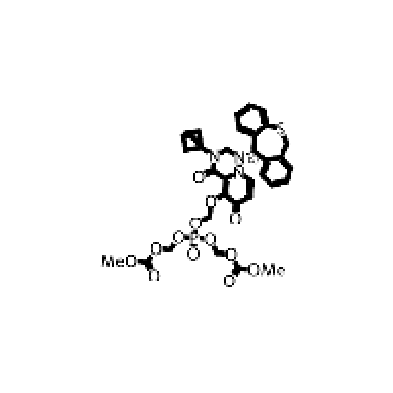 COC(=O)OCOP(=O)(OCOC(=O)OC)OCOc1c2n(ccc1=O)N([C@H]1c3ccccc3CSc3ccccc31)CN(C13CC(C1)C3)C2=O